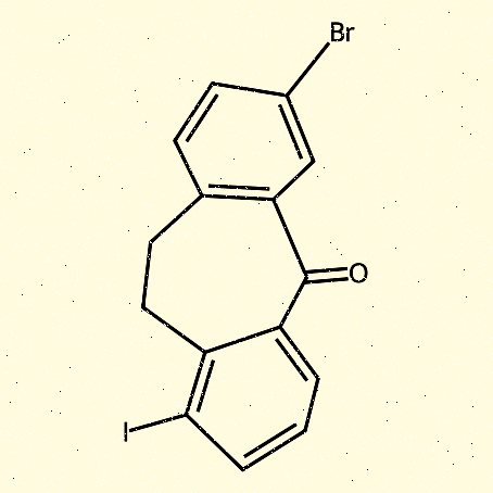 O=C1c2cc(Br)ccc2CCc2c(I)cccc21